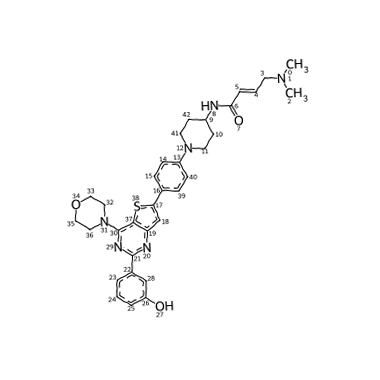 CN(C)CC=CC(=O)NC1CCN(c2ccc(-c3cc4nc(-c5cccc(O)c5)nc(N5CCOCC5)c4s3)cc2)CC1